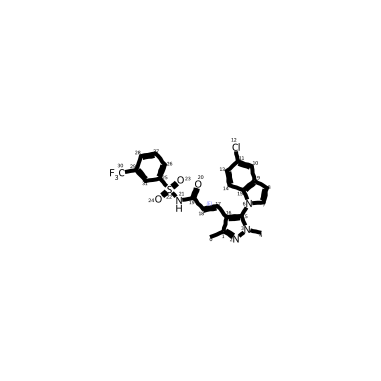 Cc1nn(C)c(-n2ccc3cc(Cl)ccc32)c1/C=C/C(=O)NS(=O)(=O)c1cccc(C(F)(F)F)c1